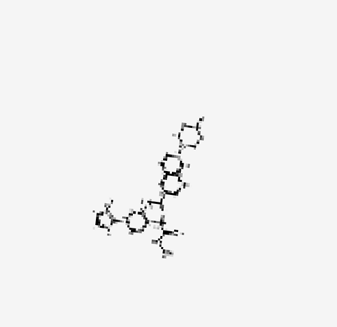 CN1CCN(c2ccc3cc(C(=O)Nc4cc(-c5nccn5C)ccc4NC(=O)OC(C)(C)C)cnc3c2)CC1